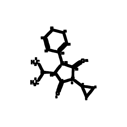 CC(C)[C@H]1C(=O)N(C2CC2)C(=O)N1C1=CCCC=C1